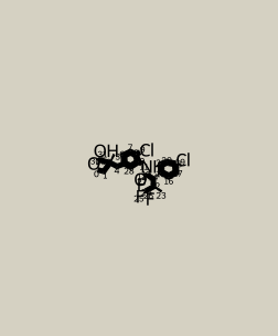 CC[C@@](C)(Cc1ccc(Cl)c(NC(=O)[C@H](c2ccc(Cl)cc2)[C@@H](C)C(F)(F)F)c1)C(=O)O